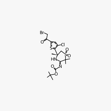 CC(C)(C)OC(=O)/N=C1\N[C@](C)(c2sc(C(=O)CBr)cc2Cl)CS(=O)(=O)C1(C)C